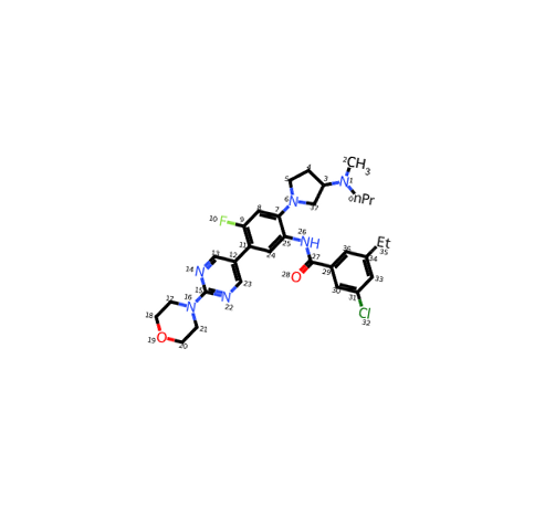 CCCN(C)C1CCN(c2cc(F)c(-c3cnc(N4CCOCC4)nc3)cc2NC(=O)c2cc(Cl)cc(CC)c2)C1